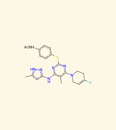 CC(=O)Nc1ccc(Sc2nc(Nc3cc(C)[nH]n3)c(C)c(N3CC=C(F)CC3)n2)cc1